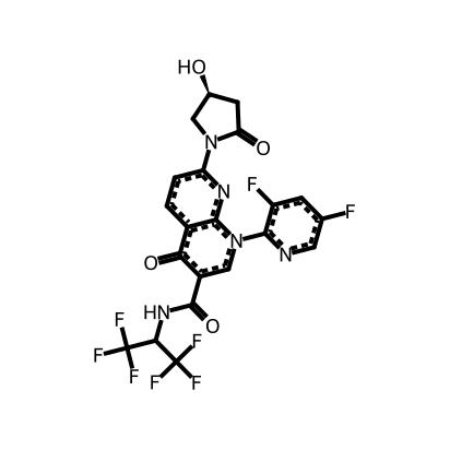 O=C(NC(C(F)(F)F)C(F)(F)F)c1cn(-c2ncc(F)cc2F)c2nc(N3C[C@@H](O)CC3=O)ccc2c1=O